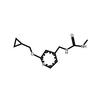 CNC(=O)NCc1ccnc(OCC2CC2)c1